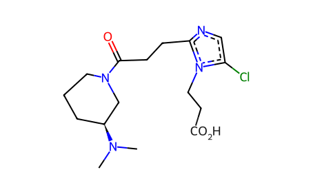 CN(C)[C@H]1CCCN(C(=O)CCc2ncc(Cl)n2CCC(=O)O)C1